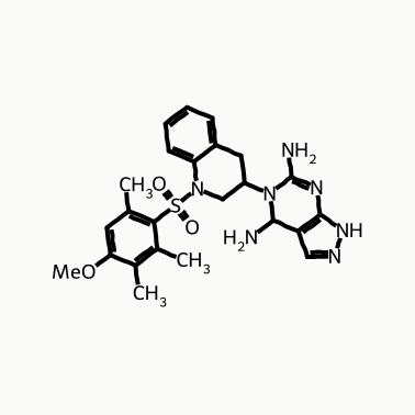 COc1cc(C)c(S(=O)(=O)N2CC(N3C(N)=Nc4[nH]ncc4C3N)Cc3ccccc32)c(C)c1C